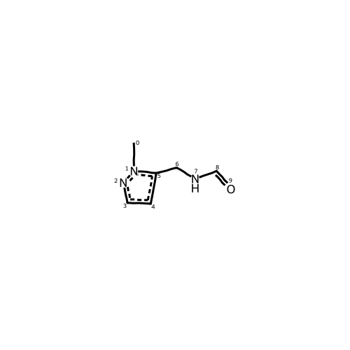 Cn1nccc1CNC=O